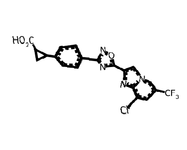 O=C(O)C1CC1c1ccc(-c2noc(-c3cn4cc(C(F)(F)F)cc(Cl)c4n3)n2)cc1